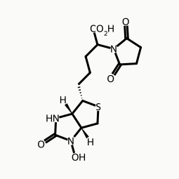 O=C(O)C(CCC[C@@H]1SC[C@H]2[C@@H]1NC(=O)N2O)N1C(=O)CCC1=O